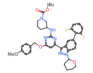 COc1ccc(COc2cc(-c3nn(C4CCCCO4)c4ccc(-c5c(F)cccc5F)cc34)nc(NC3CCCN(C(=O)OC(C)(C)C)C3)n2)cc1